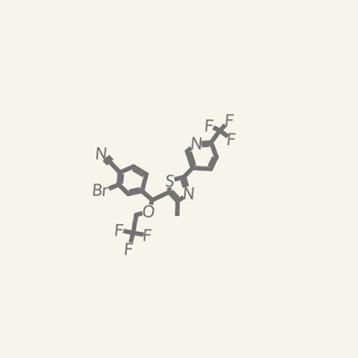 Cc1nc(-c2ccc(C(F)(F)F)nc2)sc1C(OCC(F)(F)F)c1ccc(C#N)c(Br)c1